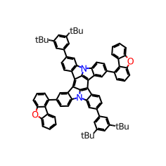 CC(C)(C)c1cc(-c2ccc3c4c5c6cc(-c7cccc8oc9ccccc9c78)ccc6n6c7cc(-c8cc(C(C)(C)C)cc(C(C)(C)C)c8)ccc7c(c7c8cc(-c9cccc%10oc%11ccccc%11c9%10)ccc8n(c3c2)c74)c56)cc(C(C)(C)C)c1